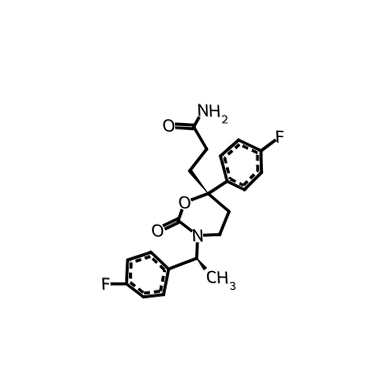 C[C@@H](c1ccc(F)cc1)N1CC[C@@](CCC(N)=O)(c2ccc(F)cc2)OC1=O